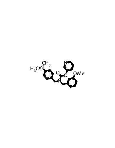 COc1cccc(CN(Cc2ccc(N(C)C)cc2)C(=O)Oc2cccnc2)c1